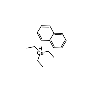 C[CH2][GeH]([CH2]C)[CH2]C.c1ccc2ccccc2c1